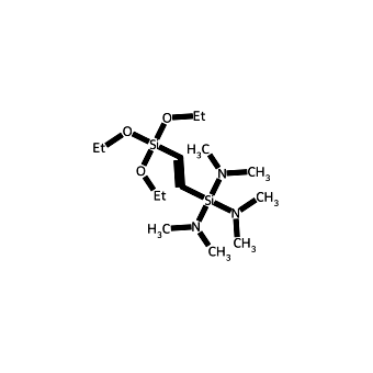 CCO[Si](C=C[Si](N(C)C)(N(C)C)N(C)C)(OCC)OCC